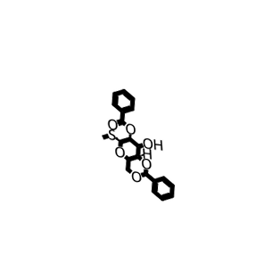 CS[C@@H]1OC2COC(c3ccccc3)O[C@@H]2C(O)[C@@H]1OC(=O)c1ccccc1